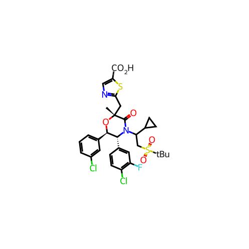 CC(C)(C)S(=O)(=O)CC(C1CC1)N1C(=O)[C@@](C)(Cc2ncc(C(=O)O)s2)O[C@H](c2cccc(Cl)c2)[C@H]1c1ccc(Cl)c(F)c1